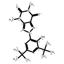 Cn1c(=O)c2nn(-c3cc(C(C)(C)C)cc(C(C)(C)C)c3O)nc2n(C)c1=O